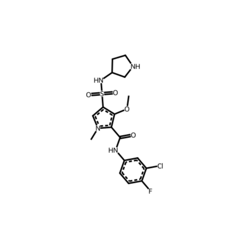 COc1c(S(=O)(=O)NC2CCNC2)cn(C)c1C(=O)Nc1ccc(F)c(Cl)c1